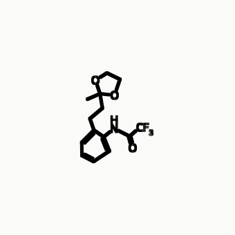 CC1(CCc2ccccc2NC(=O)C(F)(F)F)OCCO1